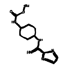 CC(C)(C)OC(=O)NC1CCC(NC(=N)C2N=CC=N2)CC1